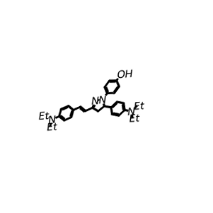 CCN(CC)c1ccc(/C=C/C2=NN(c3ccc(O)cc3)C(c3ccc(N(CC)CC)cc3)C2)cc1